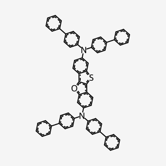 c1ccc(-c2ccc(N(c3ccc(-c4ccccc4)cc3)c3ccc4c(c3)oc3c5ccc(N(c6ccc(-c7ccccc7)cc6)c6ccc(-c7ccccc7)cc6)cc5sc43)cc2)cc1